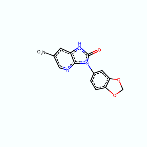 O=c1[nH]c2cc([N+](=O)[O-])cnc2n1-c1ccc2c(c1)OCO2